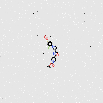 COOSc1ccc(N2CC[C@H](c3coc(C4CCN(C(=O)OC(C)C)CC4)n3)C2)c(F)c1